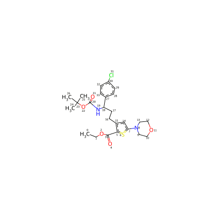 CCOC(=O)c1sc(N2CCOCC2)cc1CCC(NC(=O)OC(C)(C)C)c1ccc(Cl)cc1